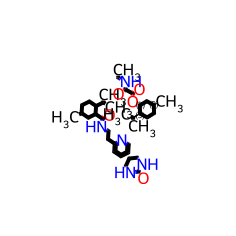 CC1CCC(C(C)C)C(C(=O)NCCc2ccccn2)C1.CCNC(=O)C(=O)O[C@@H]1C[C@H](C)CC[C@H]1C(C)C.O=C1NCCCN1